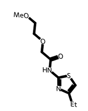 CCc1csc(NC(=O)COCCOC)n1